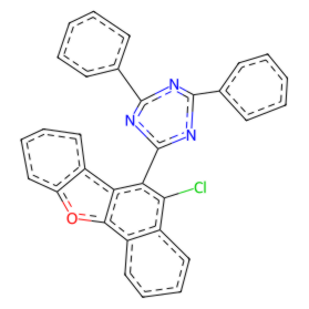 Clc1c(-c2nc(-c3ccccc3)nc(-c3ccccc3)n2)c2c3ccccc3oc2c2ccccc12